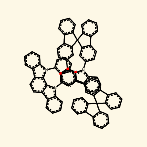 c1ccc(-n2c3ccccc3c3ccc4c5ccccc5n(-c5nc(-c6ccc7c(c6)C6(c8ccccc8-c8ccccc86)c6ccccc6-7)nc(-c6ccc7c(c6)C6(c8ccccc8-7)c7ccccc7-c7ccc(-n8c9ccccc9c9ccccc98)cc76)n5)c4c32)cc1